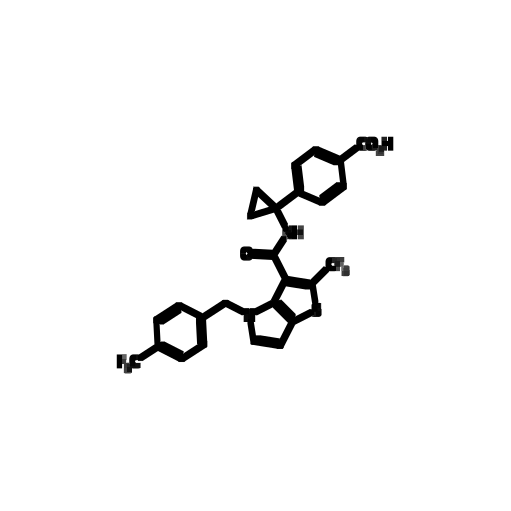 O=C(O)c1ccc(C2(NC(=O)c3c(C(F)(F)F)sc4ccn(Cc5ccc(C(F)(F)F)cc5)c34)CC2)cc1